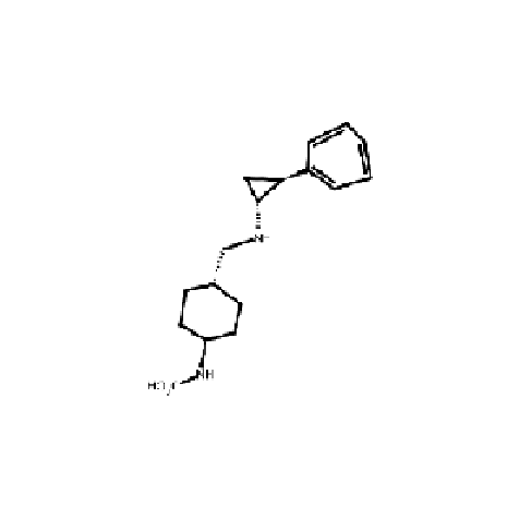 O=C(O)N[C@H]1CC[C@H](CN[C@@H]2C[C@H]2c2ccccc2)CC1